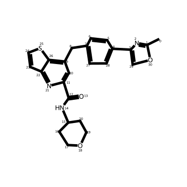 Cc1nc(-c2ccc(Cc3cc(C(=O)NC4CCOCC4)nc4ccsc34)cc2)co1